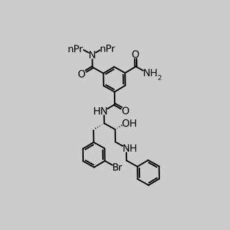 CCCN(CCC)C(=O)c1cc(C(N)=O)cc(C(=O)N[C@@H](Cc2cccc(Br)c2)[C@H](O)CNCc2ccccc2)c1